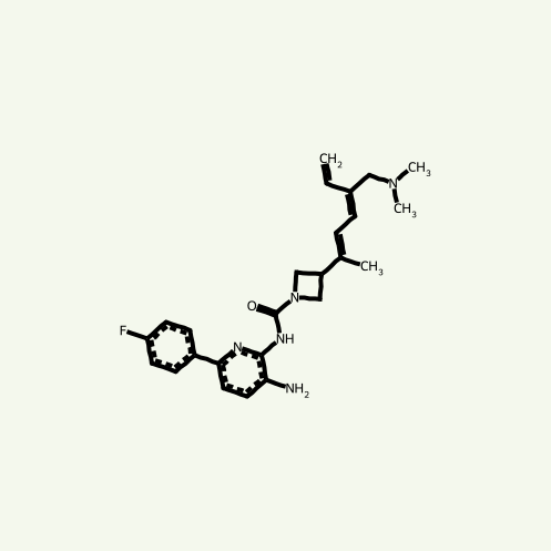 C=C/C(=C\C=C(/C)C1CN(C(=O)Nc2nc(-c3ccc(F)cc3)ccc2N)C1)CN(C)C